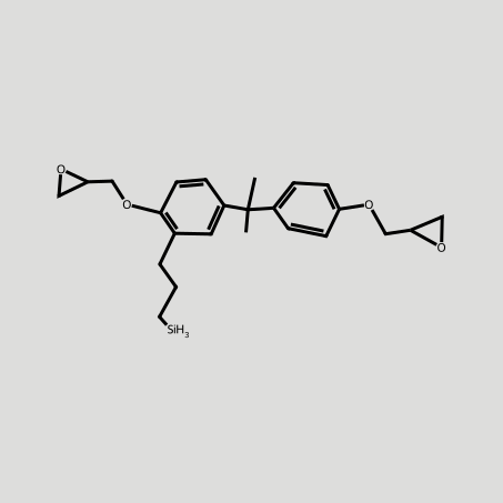 CC(C)(c1ccc(OCC2CO2)cc1)c1ccc(OCC2CO2)c(CCC[SiH3])c1